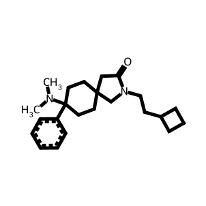 CN(C)C1(c2ccccc2)CCC2(CC1)CC(=O)N(CCC1CCC1)C2